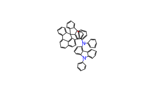 c1ccc(-c2ccc3cccc4c3c2C2(c3ccccc3-c3ccc(N(c5ccccc5)c5cccc6c5c5ccccc5n6-c5ccccc5)cc32)c2ccccc2-4)cc1